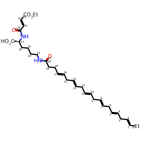 CCC=CCC=CCC=CCC=CCC=CCC=CCCC(=O)NCCCC[C@H](NC(=O)C=CC(=O)OCC)C(=O)O